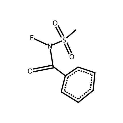 CS(=O)(=O)N(F)C(=O)c1ccccc1